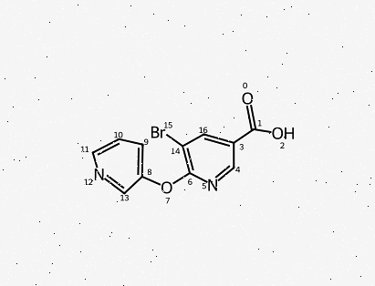 O=C(O)c1cnc(Oc2cccnc2)c(Br)c1